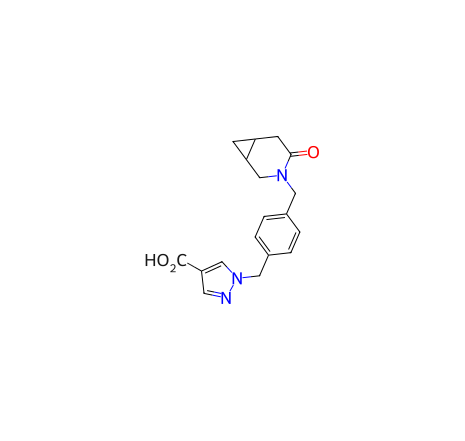 O=C(O)c1cnn(Cc2ccc(CN3CC4CC4CC3=O)cc2)c1